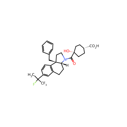 CC(F)(c1ccc2c(c1)CC[C@H]1N(C(=O)[C@]3(O)CC[C@@H](C(=O)O)CC3)CC[C@@]21Cc1ccccc1)C(F)(F)F